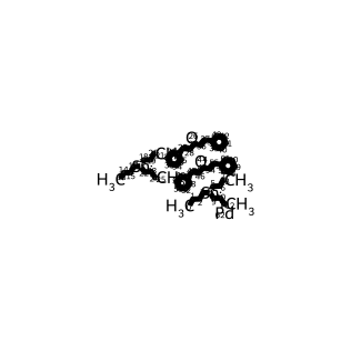 CCC[CH2][Sn]([CH2]CCC)[CH2]CCC.CCC[CH2][Sn]([CH2]CCC)[CH2]CCC.O=C(C=Cc1ccccc1)C=Cc1ccccc1.O=C(C=Cc1ccccc1)C=Cc1ccccc1.[Pd]